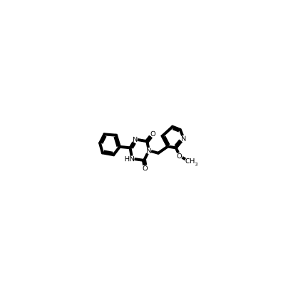 COc1ncccc1Cn1c(=O)nc(-c2ccccc2)[nH]c1=O